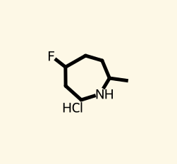 CC1CCC(F)CCN1.Cl